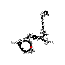 COc1cc2cc(c1Cl)N(C)C(=O)C[C@H](OC(=O)[C@H](C)N(C)C(=O)c1ccc(NC(=O)[C@H](CCCNC(N)O)NC(=O)[C@@H](NC(=S)NCCOCCOCCC(=O)ON3C(=O)CCC3=O)C(C)C)cc1C(F)(F)F)[C@]1(C)O[C@H]1[C@H](C)[C@@H]1C[C@@](O)(NC(=O)O1)[C@H](OC)/C=C/C=C(\C)C2